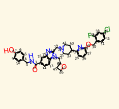 O=C(NCc1ccc(O)cc1)c1ccc2c(c1)nc(CN1CCC(c3cccc(OCc4ccc(Cl)cc4F)n3)CC1)n2C[C@@H]1CCO1